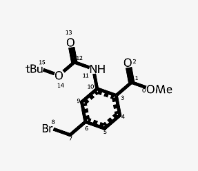 COC(=O)c1ccc(CBr)cc1NC(=O)OC(C)(C)C